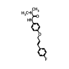 CN(C)C(=O)Nc1ccc(OCC=Cc2ccc(F)cc2)cc1